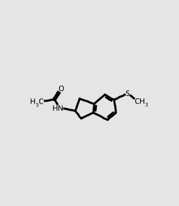 CSc1ccc2c(c1)CC(NC(C)=O)C2